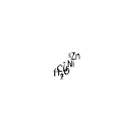 O.[Cu].[Ni].[Zn]